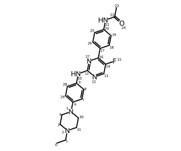 CCN1CCN(c2ccc(Nc3ncc(F)c(-c4ccc(NC(C)=O)cc4)n3)cc2)CC1